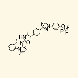 CCc1ccccc1-n1c(C)cs/c1=N\C(=O)NC(C)C(C)c1ccc(-c2ncn(-c3ccc(OC(F)(F)F)cc3)n2)cc1